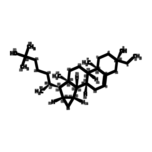 CC[C@]1(O)CC[C@@]2(C)C(=CC[C@H]3[C@@H]4[C@@H]5C[C@@H]5[C@H]([C@H](C)CCCC(C)(C)O)[C@@]4(C)CC[C@@H]32)C1